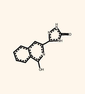 O=c1[nH]nc(-c2cc3ccccc3c(O)n2)[nH]1